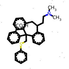 CN(C)CCC1Cc2ccccc2C(CSc2ccccc2)(c2ccccc2C(=O)O)c2ccccc21